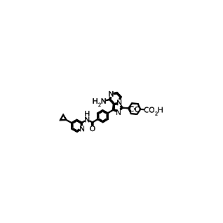 Nc1nccn2c(C34CCC(C(=O)O)(CC3)CC4)nc(-c3ccc(C(=O)Nc4cc(C5CC5)ccn4)cc3)c12